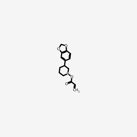 C=CC(=O)ON1CCCC(c2ccc3c(c2)OCO3)C1